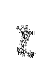 Cn1cc(-c2cc3c(N4CCN(c5ncc(C(C)(O)c6c(F)cc(F)cc6F)cn5)CC4)ncnn3c2)cn1